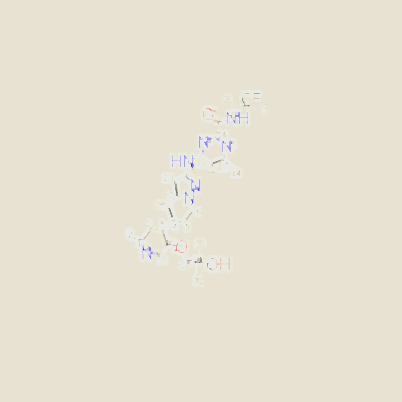 Cc1cc(-c2ccn3nc(Nc4cc(C)nc(C(=O)NCC(F)(F)F)n4)cc3c2)c(OCC(C)(C)O)cn1